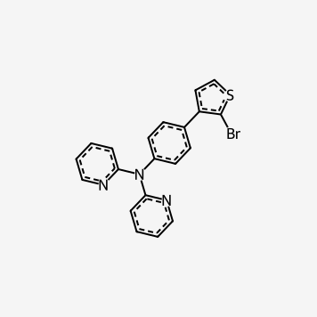 Brc1sccc1-c1ccc(N(c2ccccn2)c2ccccn2)cc1